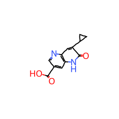 O=C(O)c1cnc2cc(C3CC3)c(=O)[nH]c2c1